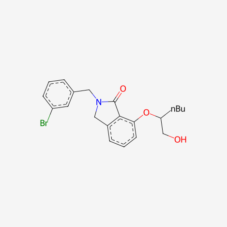 CCCCC(CO)Oc1cccc2c1C(=O)N(Cc1cccc(Br)c1)C2